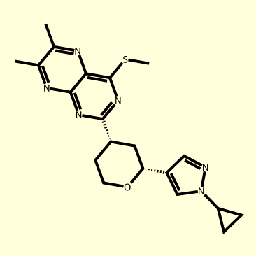 CSc1nc([C@H]2CCO[C@@H](c3cnn(C4CC4)c3)C2)nc2nc(C)c(C)nc12